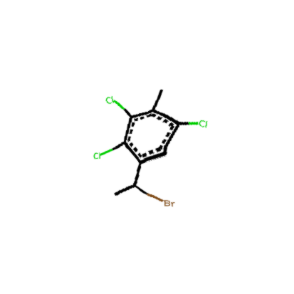 Cc1c(Cl)cc(C(C)Br)c(Cl)c1Cl